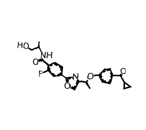 CC(CO)NC(=O)c1ccc(-c2nc(C(C)Oc3ccc(C(=O)C4CC4)cc3)co2)cc1F